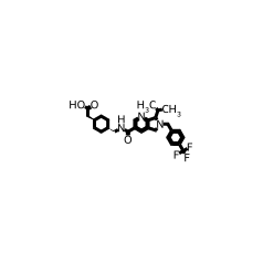 CC(C)C1c2ncc(C(=O)NC[C@H]3CC[C@H](CC(=O)O)CC3)cc2CN1Cc1ccc(C(F)(F)F)cc1